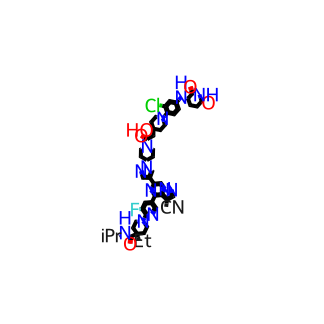 CCC1(C(=O)NC(C)C)CCN(c2ncc(-c3nc(-c4cnn(C5CCN(C(=O)CC6(O)CCN(c7ccc(NC8CCC(=O)NC8=O)cc7Cl)CC6)CC5)c4)cn4ncc(C#N)c34)cc2F)CC1